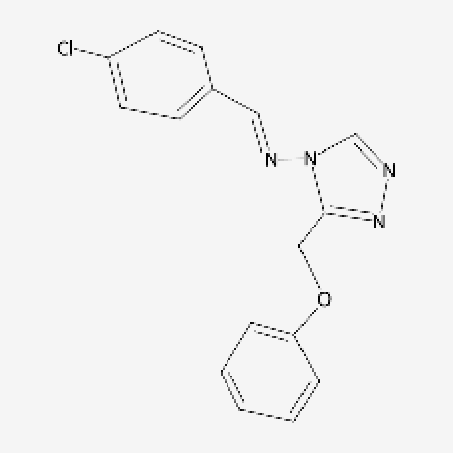 Clc1ccc(/C=N/n2cnnc2COc2ccccc2)cc1